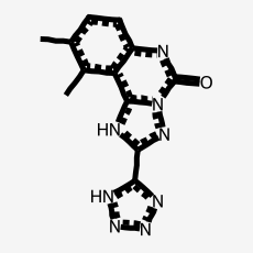 Cc1ccc2nc(=O)n3nc(-c4nnn[nH]4)[nH]c3c2c1C